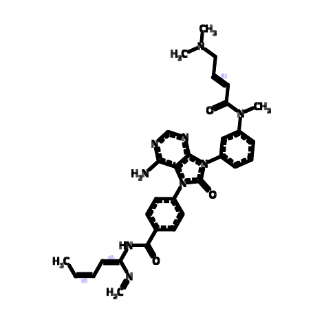 C=N/C(=C\C=C/C)NC(=O)c1ccc(-n2c(=O)n(-c3cccc(N(C)C(=O)/C=C/CN(C)C)c3)c3ncnc(N)c32)cc1